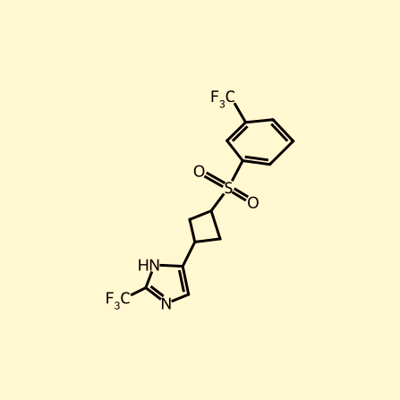 O=S(=O)(c1cccc(C(F)(F)F)c1)C1CC(c2cnc(C(F)(F)F)[nH]2)C1